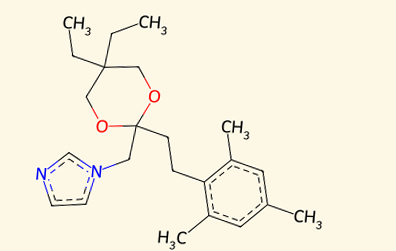 CCC1(CC)COC(CCc2c(C)cc(C)cc2C)(Cn2ccnc2)OC1